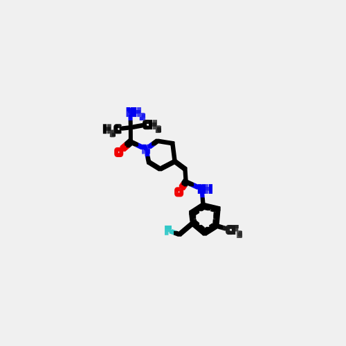 CC(C)(N)C(=O)N1CCC(CC(=O)Nc2cc(CF)cc(C(F)(F)F)c2)CC1